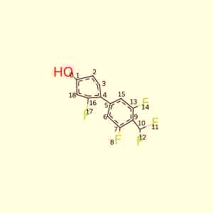 Oc1ccc(-c2cc(F)c(C(F)F)c(F)c2)c(F)c1